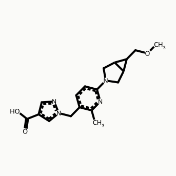 COCC1C2CN(c3ccc(Cn4cc(C(=O)O)cn4)c(C)n3)CC12